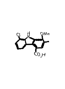 COc1c(C)cc(C(=O)O)c2c1[nH]c1c(Cl)cccc12